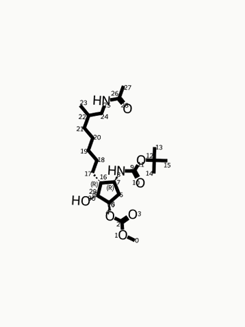 COC(=O)O[C@@H]1C[C@@H](NC(=O)OC(C)(C)C)[C@@H](CCCCCC(C)CNC(C)=O)[C@H]1O